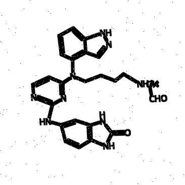 CC(=O)NCCCCN(c1ccnc(Nc2ccc3[nH]c(=O)[nH]c3c2)n1)c1cccc2[nH]ncc12.O=CO